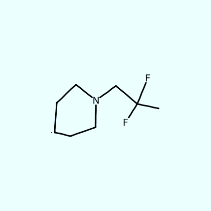 CC(F)(F)CN1CC[CH]CC1